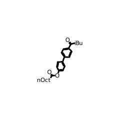 CCCCCCCCC(=O)Oc1ccc(-c2ccc(C(=O)C(C)CC)cc2)cc1